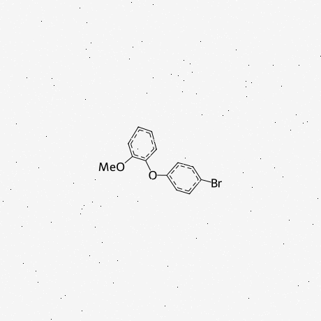 COc1ccccc1Oc1ccc(Br)cc1